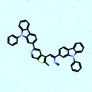 C=N/C(=C\c1c(C)sc2cnc(-c3ccc4c5ccccc5n(-c5ccccc5)c4c3)cc12)c1ccc2c3ccccc3n(-c3ccccc3)c2c1